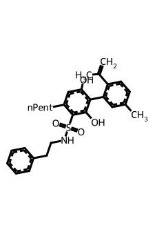 C=C(C)c1ccc(C)cc1-c1c(O)cc(CCCCC)c(S(=O)(=O)NCCc2ccccc2)c1O